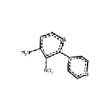 Nc1ccnc(-c2ccncc2)c1[N+](=O)[O-]